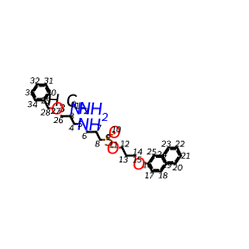 CN(N)C(CNCCCS(=O)OCCCOc1ccc2ccccc2c1)COCc1ccccc1